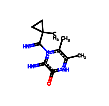 Cc1[nH]c(=O)c(=N)n(C(=N)C2(C)CC2)c1C